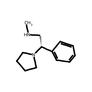 CNC[C@H](c1ccccc1)N1CCCC1